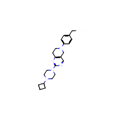 O=CCc1ccc(N2CCc3nc(N4CCN(C5CCC5)CC4)ncc3C2)cc1